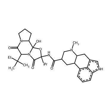 CCC(C)(C)C1C(=O)N2CCCC2C2(O)OC(NC(=O)C3CC4c5cccc6[nH]cc(c56)CC4N(C)C3)(C(C)C)C(=O)N12